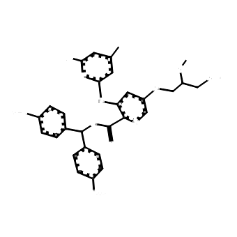 COc1ccc(C(NC(=O)c2ncc(NCC(CNC(C)=O)NC(=O)O)cc2Nc2cc(C)cc(C)n2)c2ccc(OC)cc2)cc1